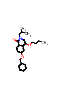 CCCCOc1[c]n(CC(C)C)c(=O)c2ccc(OCc3ccccc3)cc12